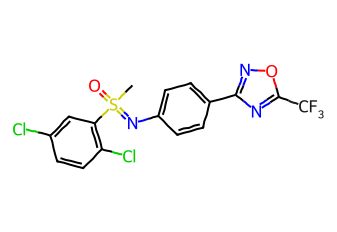 CS(=O)(=Nc1ccc(-c2noc(C(F)(F)F)n2)cc1)c1cc(Cl)ccc1Cl